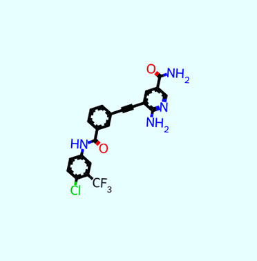 NC(=O)c1cnc(N)c(C#Cc2cccc(C(=O)Nc3ccc(Cl)c(C(F)(F)F)c3)c2)c1